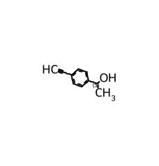 C#Cc1ccc([C@H](C)O)cc1